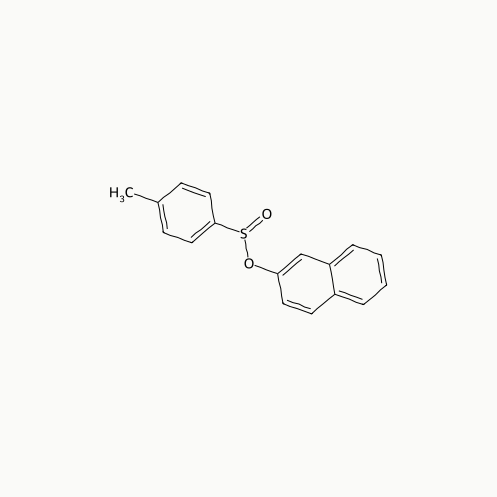 Cc1ccc(S(=O)Oc2ccc3ccccc3c2)cc1